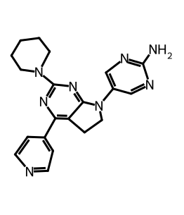 Nc1ncc(N2CCc3c(-c4ccncc4)nc(N4CCCCC4)nc32)cn1